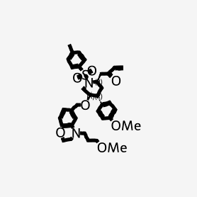 C=CC(=O)C[C@H]1C[C@H](c2ccc(OC)cc2)[C@@H](OCc2ccc3c(c2)N(CCCOC)CCO3)CN1S(=O)(=O)c1ccc(C)cc1